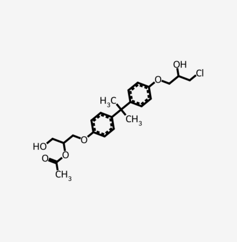 CC(=O)OC(CO)COc1ccc(C(C)(C)c2ccc(OCC(O)CCl)cc2)cc1